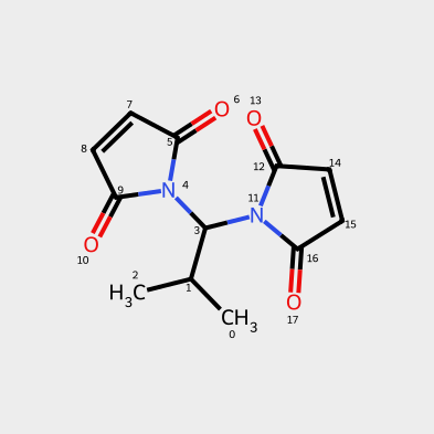 CC(C)C(N1C(=O)C=CC1=O)N1C(=O)C=CC1=O